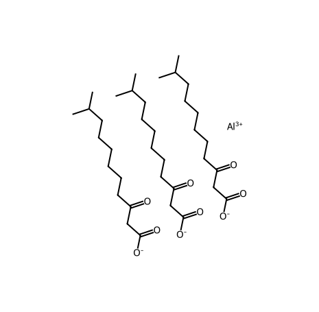 CC(C)CCCCCCC(=O)CC(=O)[O-].CC(C)CCCCCCC(=O)CC(=O)[O-].CC(C)CCCCCCC(=O)CC(=O)[O-].[Al+3]